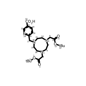 CC(C)(C)OC(=O)CN1CCN(CC(=O)OC(C)(C)C)CCN(Cc2ccc(C(=O)O)cn2)CC1